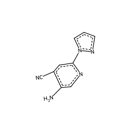 N#Cc1cc(-n2cccn2)ncc1N